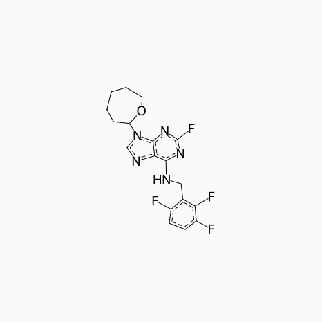 Fc1nc(NCc2c(F)ccc(F)c2F)c2ncn(C3CCCCCO3)c2n1